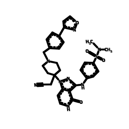 CN(C)S(=O)(=O)c1ccc(Nc2nn(C3(CC#N)CCN(Cc4ccc(-c5ccon5)cc4)CC3)c3cc[nH]c(=O)c23)cc1